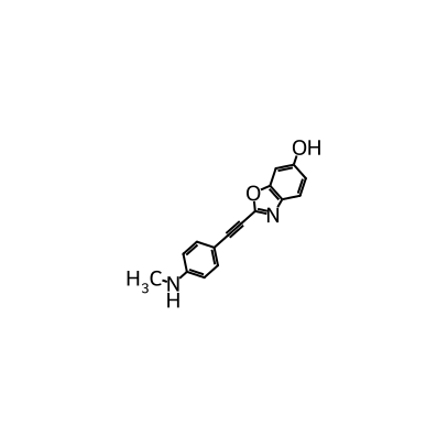 CNc1ccc(C#Cc2nc3ccc(O)cc3o2)cc1